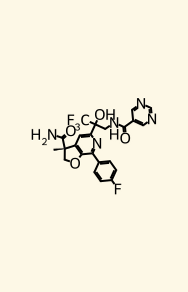 C[C@]1(C(N)=O)COc2c1cc(C(O)(CNC(=O)c1cncnc1)C(F)(F)F)nc2-c1ccc(F)cc1